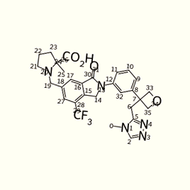 Cn1cnnc1CC1(c2cccc(N3Cc4c(cc(CN5CCCC5(C)C(=O)O)cc4C(F)(F)F)C3=O)c2)COC1